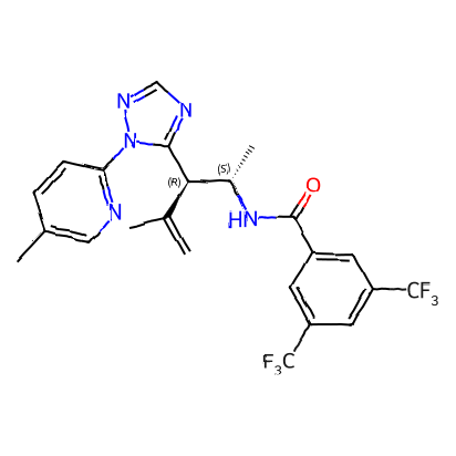 C=C(C)[C@@H](c1ncnn1-c1ccc(C)cn1)[C@H](C)NC(=O)c1cc(C(F)(F)F)cc(C(F)(F)F)c1